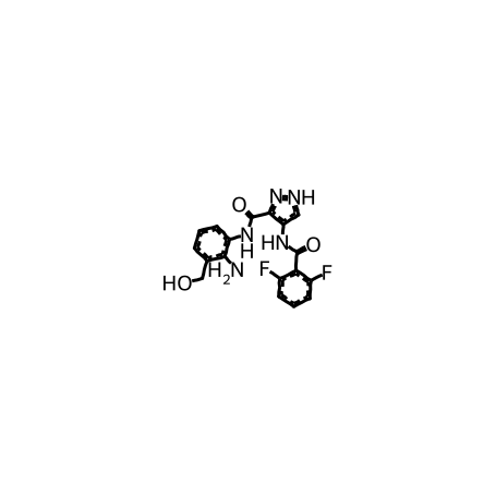 Nc1c(CO)cccc1NC(=O)c1n[nH]cc1NC(=O)c1c(F)cccc1F